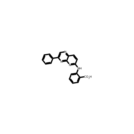 O=C(O)c1ccccc1Nc1ccc2ncc(-c3ccccc3)nc2n1